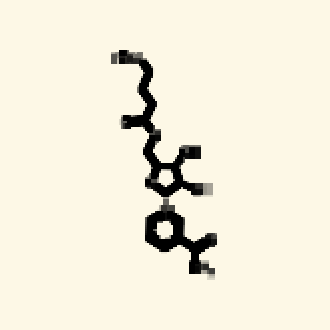 CCCCCCCCCCCCCC(=O)OCC1O[C@@H]([n+]2cccc(C(N)=O)c2)[C@H](O)[C@@H]1O